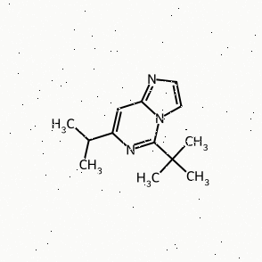 CC(C)c1cc2nccn2c(C(C)(C)C)n1